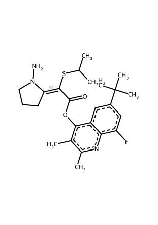 Cc1nc2c(F)cc(C(C)(C)C)cc2c(OC(=O)/C(SC(C)C)=C2\CCCN2N)c1C